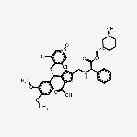 COc1ccc([C@H](Cc2c(Cl)c[n+]([O-])cc2Cl)c2cc(CNC(C(=O)OC[C@H]3CCCN(C)C3)c3ccccc3)sc2C(=O)O)cc1OC